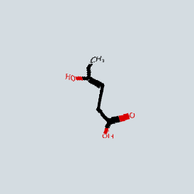 C/C(O)=C/CC(=O)O